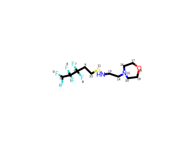 FC(F)C(F)(F)C(F)(F)CCSNCCN1CCOCC1